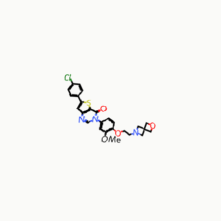 COc1cc(-n2cnc3cc(-c4ccc(Cl)cc4)sc3c2=O)ccc1OCCN1CC2(COC2)C1